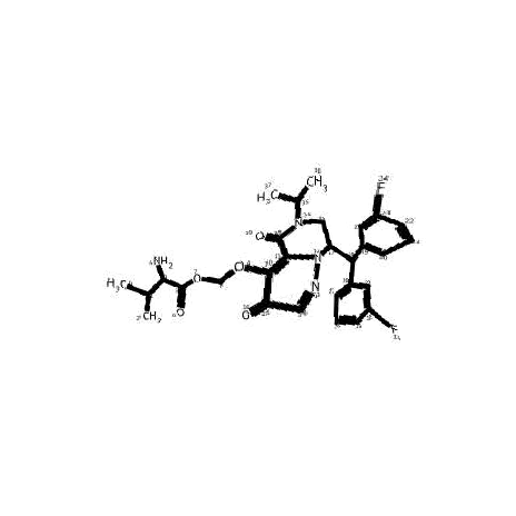 CC(C)C(N)C(=O)OCOc1c2n(ncc1=O)C(C(c1cccc(F)c1)c1cccc(F)c1)CN(C(C)C)C2=O